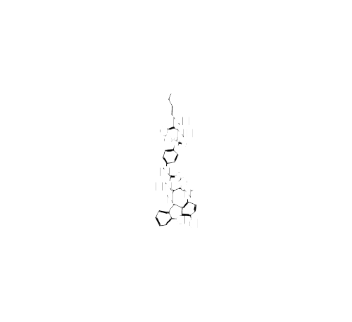 CCCCNC(=O)NS(=O)(=O)c1ccc(NC(=S)NC2N=C(c3ccccc3Cl)c3cc(Cl)ccc3N(C)C2=O)cc1